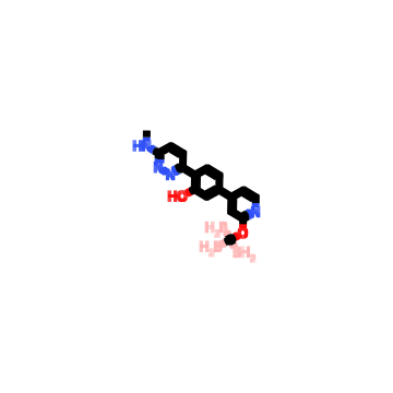 BC(B)(B)Oc1cc(-c2ccc(-c3ccc(NC)nn3)c(O)c2)ccn1